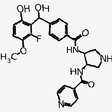 COc1ccc(O)c(C(O)c2ccc(C(=O)NC3CNC[C@H]3NC(=O)c3ccncc3)cc2)c1F